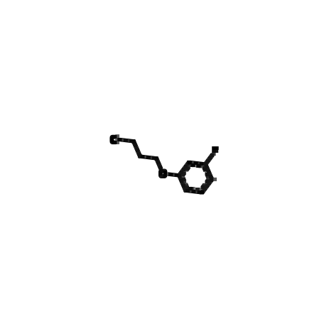 Fc1[c]ccc(OCCCCl)c1